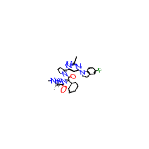 CN[C@@H](C)C(=O)N[C@H](C(=O)N1CCC[C@H]1c1cc(N2CCc3cc(F)ccc32)nc(C)n1)C1CCCCC1